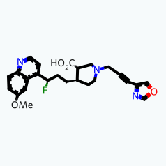 COc1ccc2nccc([C@H](F)CC[C@@H]3CCN(CC#Cc4cocn4)C[C@@H]3C(=O)O)c2c1